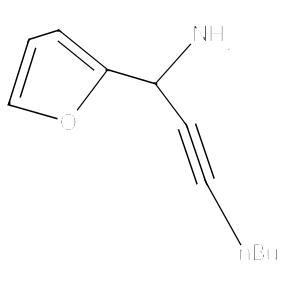 CCCCC#CC(N)c1ccco1